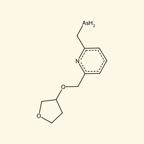 [AsH2]Cc1cccc(COC2CCOC2)n1